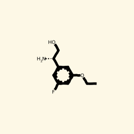 CCOc1cc(F)cc([C@H](N)CO)c1